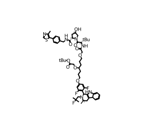 Cc1ncsc1-c1ccc(CNC(=O)[C@@H]2C[C@@H](O)CN2C(=O)[C@@H](NC(=O)COCCCC(CCCOc2cc(F)c(C3C4=C(C[C@@H](C)N3CC(C)(C)F)C3C=C=CC=C3N4)c(F)c2)OCC(=O)OC(C)(C)C)C(C)(C)C)cc1